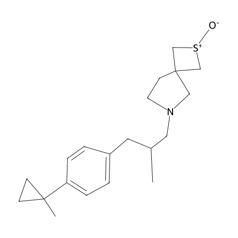 CC(Cc1ccc(C2(C)CC2)cc1)CN1CCC2(C1)C[S+]([O-])C2